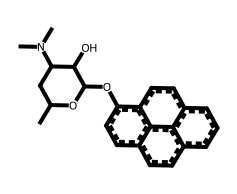 CC1CC(N(C)C)C(O)C(Oc2ccc3ccc4cccc5ccc2c3c45)O1